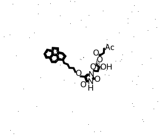 CC(=O)CCC(=O)OC[C@H]1OC(n2cc(COCCCCCc3ccc4ccc5cccc6ccc3c4c56)c(=O)[nH]c2=O)C[C@@H]1O